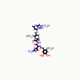 CC1=NC2=CN(C(=O)O)NN2C(SCC2=C(C(=O)O)N3C(=O)[C@@H](NC(=O)C(=NOCc4cc(O)c(O)cc4C(=O)O)c4csc(N)n4)[C@H]3SC2)=C1